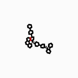 c1ccc(-c2ccc(-c3ccc(N(c4ccc(-c5ccc(-n6c7ccccc7c7ccccc76)cc5)cc4)c4cccc5ccc6ccccc6c45)cc3)cc2)cc1